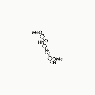 COc1ccc(C(=O)Nc2ccc(N3CCN(c4ccc(C#N)c(OC)c4)CC3)cc2)cc1